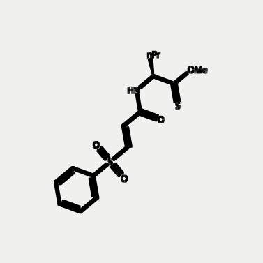 CCC[C@H](NC(=O)C=CS(=O)(=O)c1ccccc1)C(=S)OC